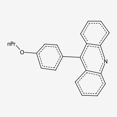 CCCOc1ccc(-c2c3ccccc3nc3ccccc23)cc1